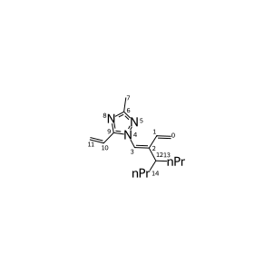 C=C/C(=C\n1nc(C)nc1C=C)C(CCC)CCC